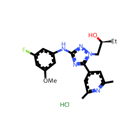 CC[C@H](O)Cn1nc(Nc2cc(F)cc(OC)c2)nc1-c1cc(C)nc(C)c1.Cl